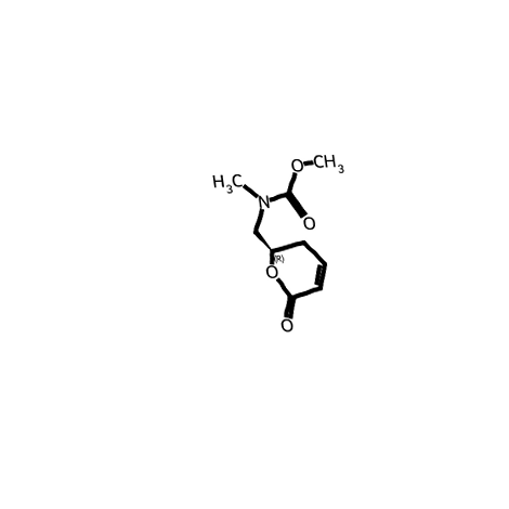 COC(=O)N(C)C[C@H]1CC=CC(=O)O1